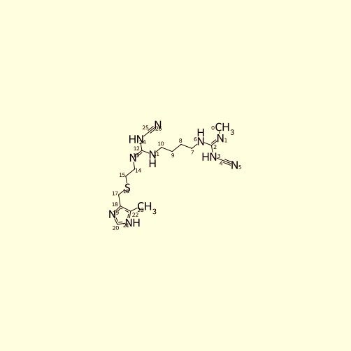 C/N=C(/NC#N)NCCCCN/C(=N\CCSCc1nc[nH]c1C)NC#N